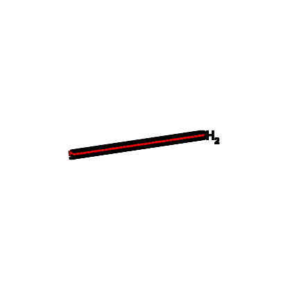 BB=BB=BB=BB=BB=BB=BB=BB=BB=BB=BB=BB=BB=BB=BB=BB=BB=BB=BB=BB=BB=BB=BB=BB=BB=BB=BB=BB=BB=BB=BB=BB=BB=BB=BB=BB=BSCC